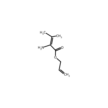 C=CCOC(=O)C(N)=C(C)C